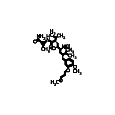 COCCCOc1cc(C[C@@H](C[C@H](N)[C@@H](O)C[C@H](C(=O)NC2C(C)C2C(N)=O)C(C)C)C(C)C)ccc1OC.Cl